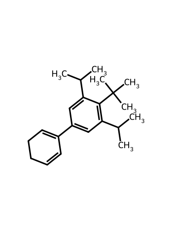 CC(C)c1cc(C2=CCCC=C2)cc(C(C)C)c1C(C)(C)C